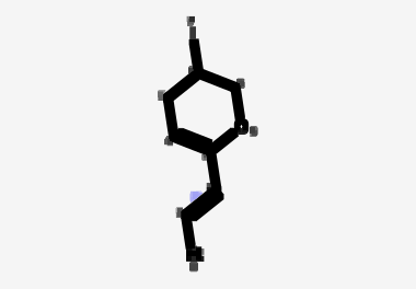 CC/C=C/C1=CCC(I)CO1